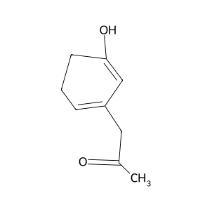 CC(=O)CC1=CCCC(O)=C1